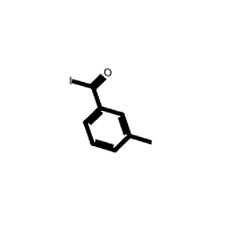 Cc1cccc(C(=O)I)c1